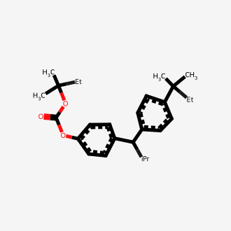 CCC(C)(C)OC(=O)Oc1ccc(C(c2ccc(C(C)(C)CC)cc2)C(C)C)cc1